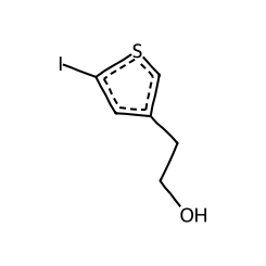 OCCc1csc(I)c1